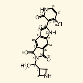 CC(C1CNC1)N1C(=O)c2cc3nc(-c4c(Cl)cc[nH]c4=O)[nH]c3cc2C1=O